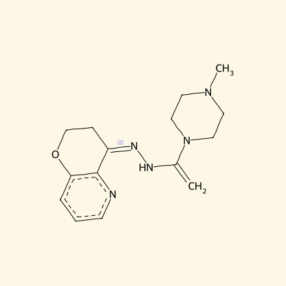 C=C(N/N=C1/CCOc2cccnc21)N1CCN(C)CC1